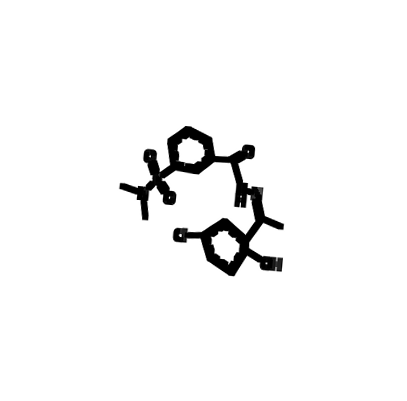 CC(=NNC(=O)c1cccc(S(=O)(=O)N(C)C)c1)c1cc(Cl)ccc1O